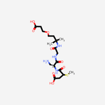 CSC(CC(=O)O)C(=O)N[C@@H](CN)C(=O)NCC(=O)NC(C)(C)CCOCCC(=O)O